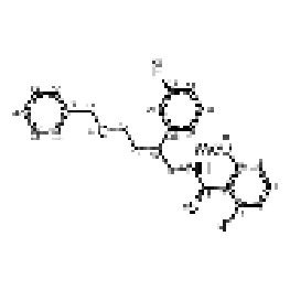 COc1cccc(F)c1C(=S)NCC(CCOCc1ccccc1)c1cccc(F)c1